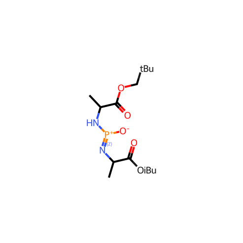 CC(C)COC(=O)C(C)/N=[P+](\[O-])NC(C)C(=O)OCC(C)(C)C